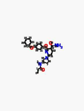 C=CC(=O)N(C)[C@H]1CCN(c2ccc(C(N)=O)c(Oc3ccc(Oc4ccccc4)cc3)n2)C1